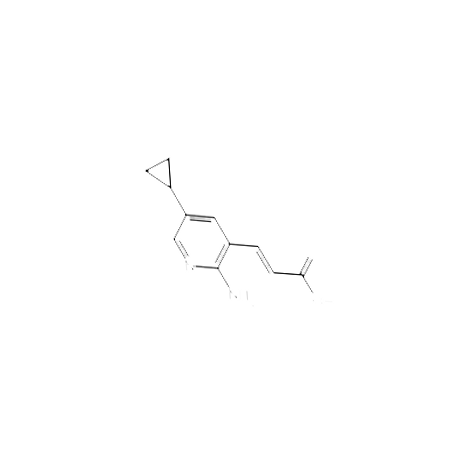 Nc1ncc(C2CC2)cc1/C=C/C(=O)O